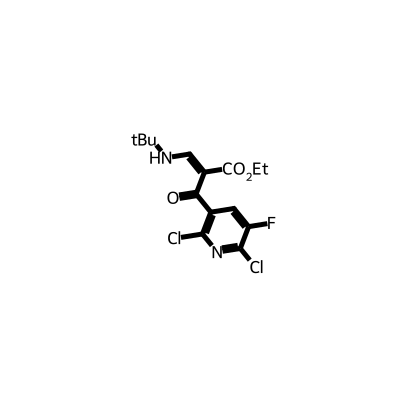 CCOC(=O)/C(=C/NC(C)(C)C)C(=O)c1cc(F)c(Cl)nc1Cl